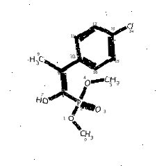 COP(=O)(OC)C(O)=C(C)c1ccc(Cl)cc1